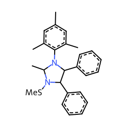 CSN1C(c2ccccc2)C(c2ccccc2)N(c2c(C)cc(C)cc2C)C1C